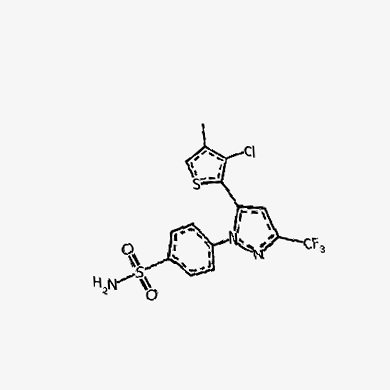 Cc1csc(-c2cc(C(F)(F)F)nn2-c2ccc(S(N)(=O)=O)cc2)c1Cl